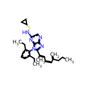 C=C(/C=C\C=C(/C)c1nc2ncc(NSC3CC3)nc2n1-c1c(CC)cccc1CC)CCC